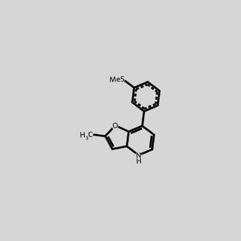 CSc1cccc(C2=C3OC(C)=CC3NC=C2)c1